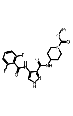 CC(C)OC(=O)N1CCC(NC(=O)c2n[nH]cc2NC(=O)c2c(F)cccc2F)CC1